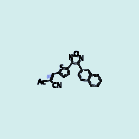 CC(=O)/C(C#N)=C/c1ccc(-c2nonc2-c2ccc3ccccc3c2)s1